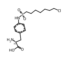 N[C@@H](Cc1ccc(NS(=O)(=O)CCCCCCCCl)cc1)C(=O)O